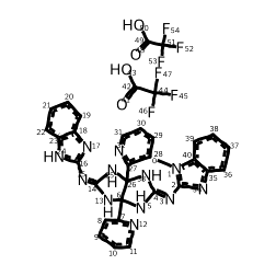 Cn1c(N=C2NC3(c4ccccn4)NC(=Nc4nc5ccccc5[nH]4)NC3(c3ccccn3)N2)nc2ccccc21.O=C(O)C(F)(F)F.O=C(O)C(F)(F)F